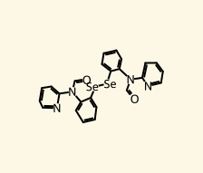 O=CN(c1ccccn1)c1ccccc1[Se][Se]c1ccccc1N(C=O)c1ccccn1